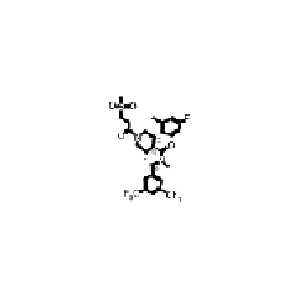 Cc1cc(F)ccc1[C@H]1CN(C(=O)CCS(C)(=O)=O)CC[C@@H]1C(=O)N(C)[C@@H](C)c1cc(C(F)(F)F)cc(C(F)(F)F)c1